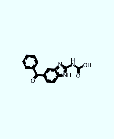 O=C(O)Nc1nc2cc(C(=O)c3ccccc3)ccc2[nH]1